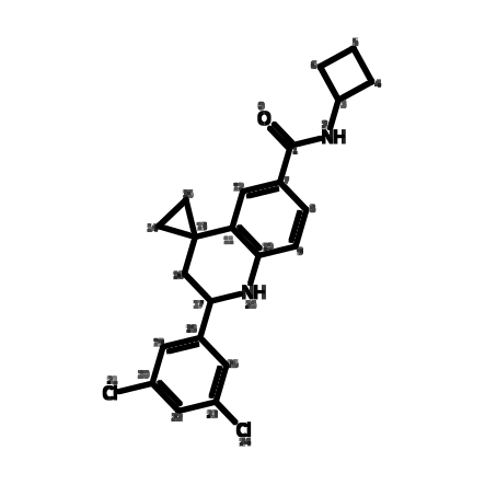 O=C(NC1CCC1)c1ccc2c(c1)C1(CC1)CC(c1cc(Cl)cc(Cl)c1)N2